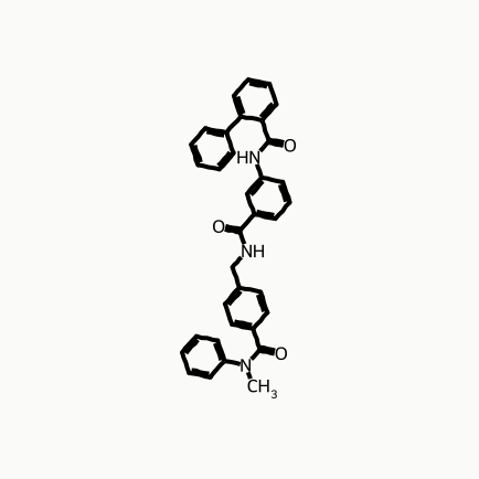 CN(C(=O)c1ccc(CNC(=O)c2cccc(NC(=O)c3ccccc3-c3ccccc3)c2)cc1)c1ccccc1